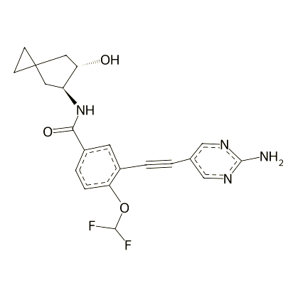 Nc1ncc(C#Cc2cc(C(=O)N[C@H]3CC4(CC4)C[C@@H]3O)ccc2OC(F)F)cn1